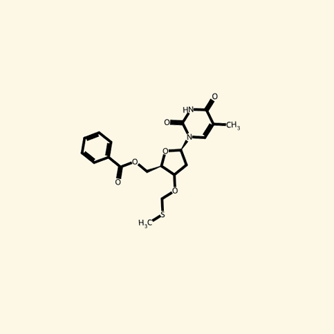 CSCOC1C[C@H](n2cc(C)c(=O)[nH]c2=O)O[C@@H]1COC(=O)c1ccccc1